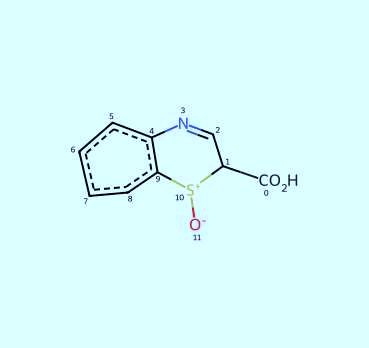 O=C(O)C1C=Nc2ccccc2[S+]1[O-]